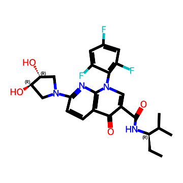 CC[C@@H](NC(=O)c1cn(-c2c(F)cc(F)cc2F)c2nc(N3C[C@@H](O)[C@H](O)C3)ccc2c1=O)C(C)C